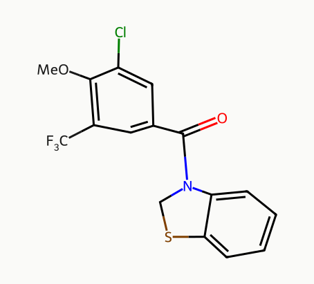 COc1c(Cl)cc(C(=O)N2CSc3ccccc32)cc1C(F)(F)F